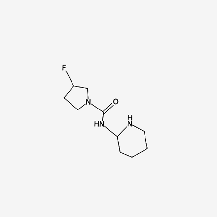 O=C(NC1CCCCN1)N1CCC(F)C1